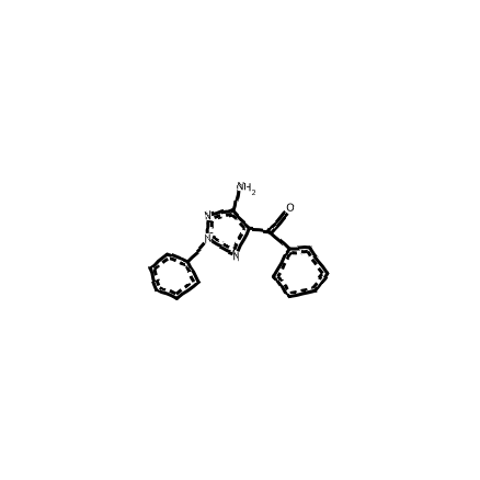 Nc1nn(-c2ccccc2)nc1C(=O)c1ccccc1